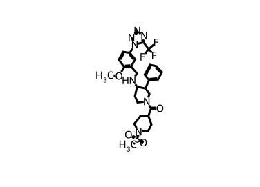 COc1ccc(-n2nnnc2C(F)(F)F)cc1CNC1CCN(C(=O)C2CCN(S(C)(=O)=O)CC2)CC1c1ccccc1